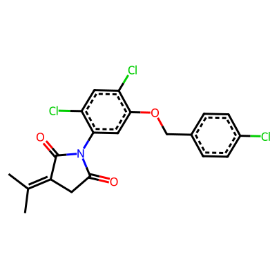 CC(C)=C1CC(=O)N(c2cc(OCc3ccc(Cl)cc3)c(Cl)cc2Cl)C1=O